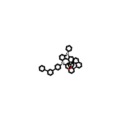 c1ccc(-c2cccc(-c3ccc(N(c4cccc(-c5cccc6cccc(-c7ccccc7)c56)c4)c4cccc5c4c4c6ccccc6ccc4n5-c4ccccc4)cc3)c2)cc1